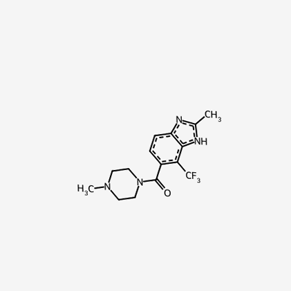 Cc1nc2ccc(C(=O)N3CCN(C)CC3)c(C(F)(F)F)c2[nH]1